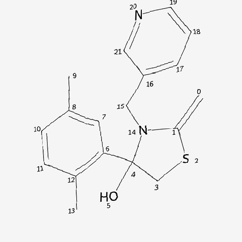 C=C1SCC(O)(c2cc(C)ccc2C)N1Cc1cccnc1